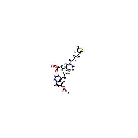 COc1ccc2nccc(CCC[C@@H]3CCN(CCCCc4ccsc4)C[C@@H]3CCC(=O)O)c2c1